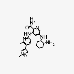 Cc1nc(Nc2cc(N[C@@H]3CCCC[C@@H]3N)cnc2C(N)=O)ccc1-c1cnn(C)c1